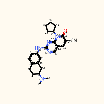 CN(C)C1CCc2ccc(Nc3ncc4cc(C#N)c(=O)n(C5CCCC5)c4n3)cc2C1